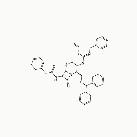 C=CS/C(=N\Cc1ccncc1)SC1CSC2C(NC(=O)CC3=CC=CCC3)C(=O)N2[C@@H]1COC(C1=CC=CCC1)[C@H]1C=CC=CC1